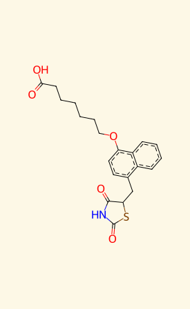 O=C(O)CCCCCCOc1ccc(CC2SC(=O)NC2=O)c2ccccc12